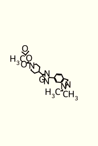 CC(C)n1ncc2ccc(-c3noc(C4CCN(C(=O)OC5(C)COC5)CC4)n3)cc21